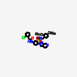 COc1ccc(CNS(=O)(=O)c2cc(NC(=O)Cc3ccccc3Cl)ccc2-n2cc3ccncc3n2)c(OC)c1